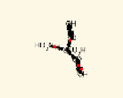 O=C(O)CCCCCCCCCC(CCCCCCOC(=O)c1ccc(-c2ccc(O)cc2)cc1)(CCCCCCOC(=O)c1ccc(-c2ccc(O)cc2)cc1)C(=O)O